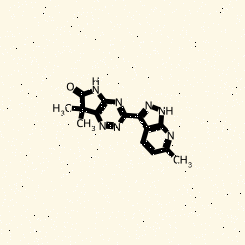 Cc1ccc2c(-c3nnc4c(n3)NC(=O)C4(C)C)n[nH]c2n1